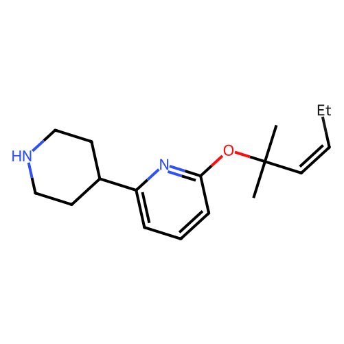 CC/C=C\C(C)(C)Oc1cccc(C2CCNCC2)n1